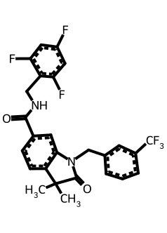 CC1(C)C(=O)N(Cc2cccc(C(F)(F)F)c2)c2cc(C(=O)NCc3c(F)cc(F)cc3F)ccc21